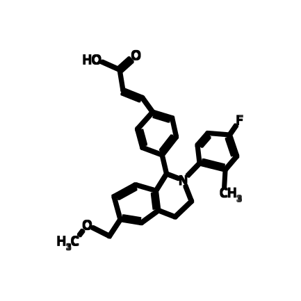 COCc1ccc2c(c1)CCN(c1ccc(F)cc1C)C2c1ccc(C=CC(=O)O)cc1